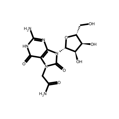 NC(=O)Cn1c(=O)n([C@@H]2O[C@H](CO)[C@@H](O)[C@H]2O)c2nc(N)[nH]c(=O)c21